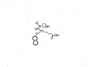 O=C(O)CCCC/C=C(\COc1ccc2ccccc2c1)C(=O)N(C1CC1)C1CCNC1